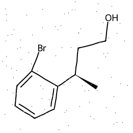 C[C@H](CCO)c1ccccc1Br